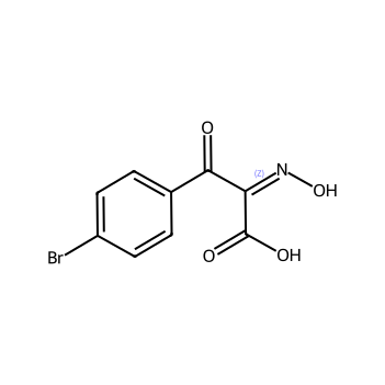 O=C(O)/C(=N\O)C(=O)c1ccc(Br)cc1